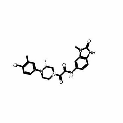 Cc1cc(N2CCN(C(=O)C(=O)Nc3ccc4[nH]c(=O)n(C)c4c3)C[C@H]2C)ccc1Cl